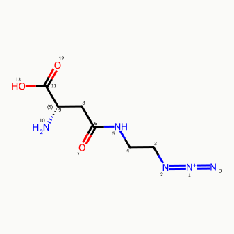 [N-]=[N+]=NCCNC(=O)C[C@H](N)C(=O)O